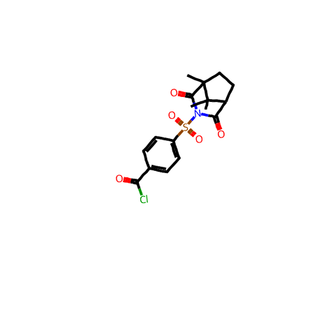 CC12CCC(C(=O)N(S(=O)(=O)c3ccc(C(=O)Cl)cc3)C1=O)C2(C)C